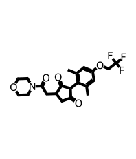 Cc1cc(OCC(F)(F)F)cc(C)c1C1C(=O)CC(CC(=O)N2CCOCC2)C1=O